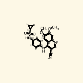 COc1cc2ncc(C#N)c(Nc3ccc(NS(=O)(=O)C4CC4)cc3)c2cc1OC